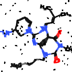 COCCCn1c(=O)n(C)c(=O)c2c1nc(N1CCCC(N)C1)n2CC=C(C)C